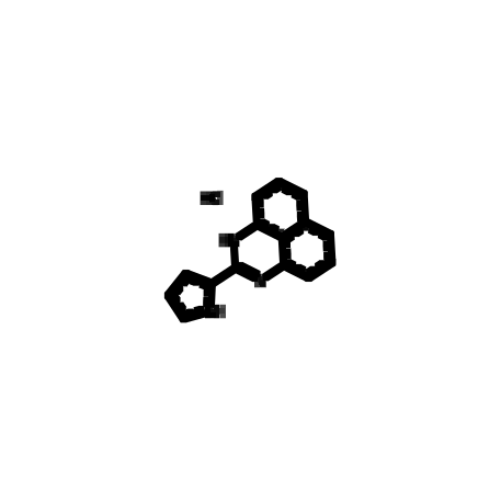 Cl.c1c[nH]c(C2=Nc3cccc4cccc(c34)N2)c1